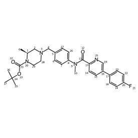 C[C@H]1CN(Cc2ccc(N(C)C(=O)c3ccc(-c4ccc(F)cc4)cn3)cc2)CCN1C(=O)OC(C)(C)C